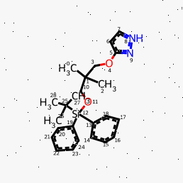 CC(C)(COc1cc[nH]n1)CO[Si](c1ccccc1)(c1ccccc1)C(C)(C)C